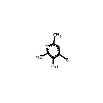 Cc1cc(Br)c(O)c(C#N)n1